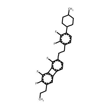 CCCc1cc2c(c(F)c1F)-c1c-2ccc(CCc2ccc(C3CCC(C)CC3)c(F)c2F)c1F